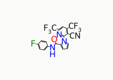 N#Cc1c(C(F)(F)F)cc(C(F)(F)F)nc1-n1cccc1C(=O)Nc1ccc(F)cc1